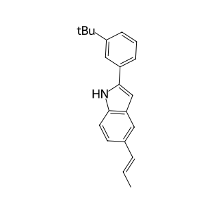 C/C=C/c1ccc2[nH]c(-c3cccc(C(C)(C)C)c3)cc2c1